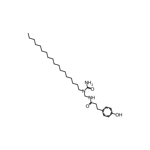 CCCCCCCCCCCCCCCCCCN(CNC(=O)CCc1ccc(O)cc1)C(N)=O